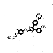 Cc1cc(OCc2nc(-c3ccc(N4CCOCC4)cc3)c(-c3cccc(C(F)(F)F)c3)s2)ccc1OCC(=O)O